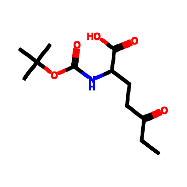 CCC(=O)CCC(NC(=O)OC(C)(C)C)C(=O)O